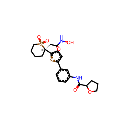 O=C(C[C@]1(c2ccc(-c3cccc(NC(=O)C4CCCO4)c3)s2)CCCCS1(=O)=O)NO